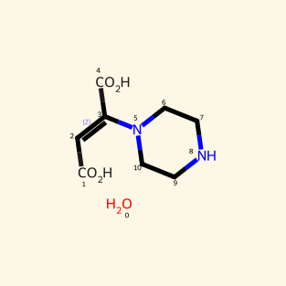 O.O=C(O)/C=C(/C(=O)O)N1CCNCC1